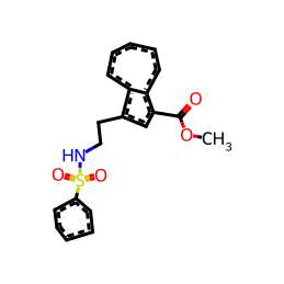 COC(=O)c1cc(CCNS(=O)(=O)c2ccccc2)c2cccccc1-2